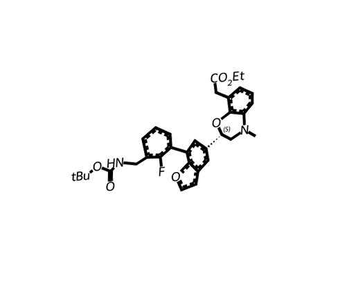 CCOC(=O)Cc1cccc2c1O[C@@H](c1cc(-c3cccc(CNC(=O)OC(C)(C)C)c3F)c3occc3c1)CN2C